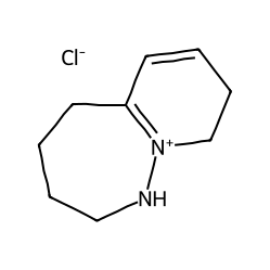 C1=CC2=[N+](CC1)NCCCC2.[Cl-]